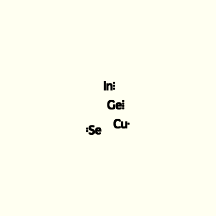 [Cu].[Ge].[In].[Se]